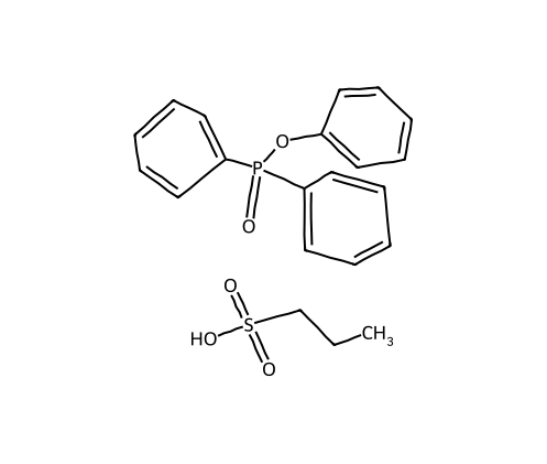 CCCS(=O)(=O)O.O=P(Oc1ccccc1)(c1ccccc1)c1ccccc1